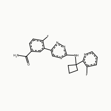 NC(=O)c1ccc(F)c(-c2cnc(NC3(c4ncccc4F)CCC3)nn2)c1